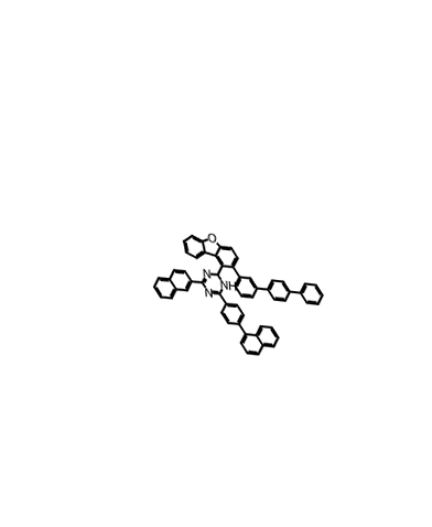 c1ccc(-c2ccc(-c3cccc(-c4ccc5oc6ccccc6c5c4C4N=C(c5ccc6ccccc6c5)N=C(c5ccc(-c6cccc7ccccc67)cc5)N4)c3)cc2)cc1